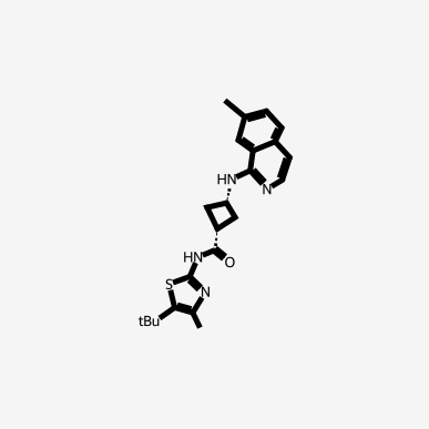 Cc1ccc2ccnc(N[C@H]3C[C@@H](C(=O)Nc4nc(C)c(C(C)(C)C)s4)C3)c2c1